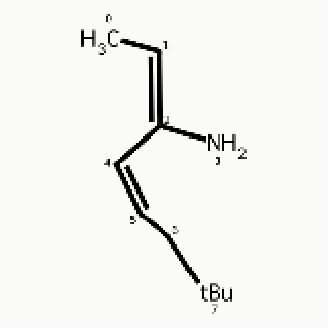 C/C=C(N)\C=C/CC(C)(C)C